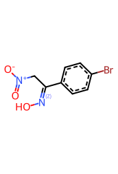 O=[N+]([O-])C/C(=N\O)c1ccc(Br)cc1